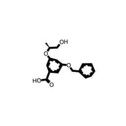 C[C@@H](CO)Oc1cc(OCc2ccccc2)cc(C(=O)O)c1